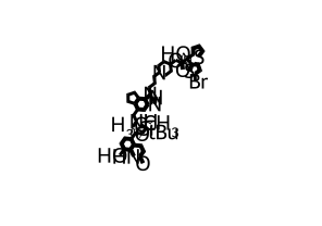 CC(C)(C)[Si](C)(C)O[C@@H](CNCc1cc2nnn(CCCN3CCC(OC(=O)[C@](O)(c4cccs4)c4ccc(Br)s4)CC3)c2c2c1CCC2)c1ccc(O)c2[nH]c(=O)ccc12